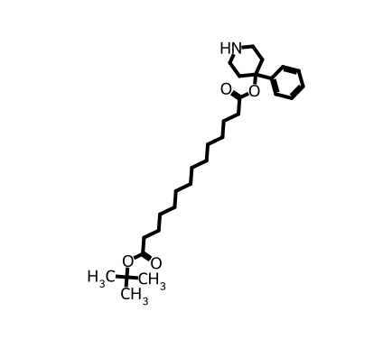 CC(C)(C)OC(=O)CCCCCCCCCCCCC(=O)OC1(c2ccccc2)CCNCC1